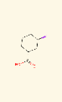 O=C(O)[C@@H]1CCC[C@@H](I)C1